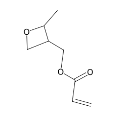 C=CC(=O)OCC1COC1C